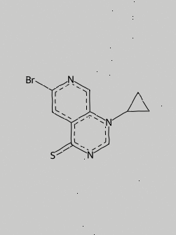 S=c1ncn(C2CC2)c2cnc(Br)cc12